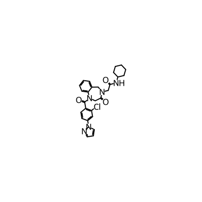 O=C(CN1Cc2ccccc2N(C(=O)c2ccc(-n3cccn3)cc2Cl)CC1=O)NC1CCCCC1